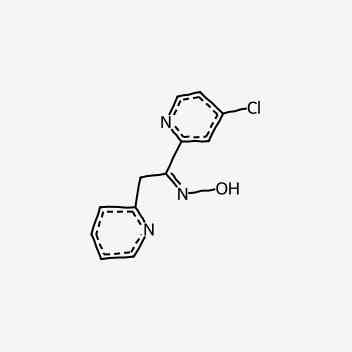 ON=C(Cc1ccccn1)c1cc(Cl)ccn1